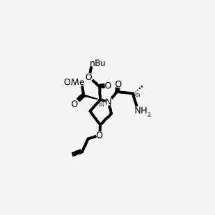 C=CCOC1CN(C(=O)[C@H](C)N)[C@@](C(=O)OC)(C(=O)OCCCC)C1